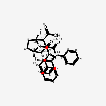 C[C@H](c1ccccc1)N(C)C(=O)N1[C@H]2CC[C@@H]1[C@@H](C(=O)O)N(C(=O)N(c1ccccc1)c1ccccc1)C2